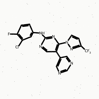 Fc1ccc(Nc2ncc(-c3cncnc3)c(-n3ccc(C(F)(F)F)n3)n2)cc1Cl